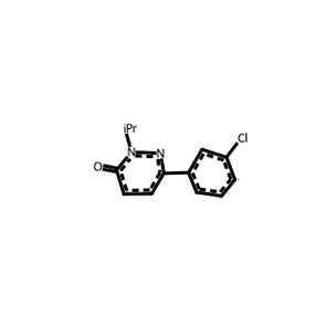 CC(C)n1nc(-c2cc[c]c(Cl)c2)ccc1=O